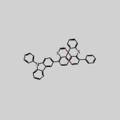 c1ccc(-c2cccc3c2Sc2ccccc2C32c3ccccc3Sc3c(-c4ccc5c(c4)c4ccccc4n5-c4ccccc4)cccc32)cc1